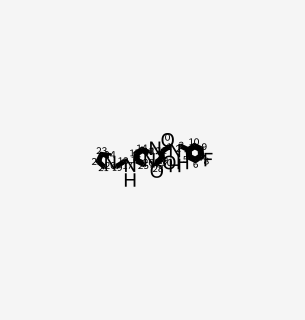 O=C(NCc1ccc(F)cc1)c1nc2ccc(NCCN3CCCC3)cn2c(=O)c1O